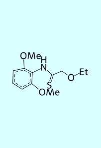 CCOCC(=S)Nc1c(OC)cccc1OC